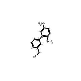 Nc1ccc(N)c(-c2cccc(CF)c2)c1